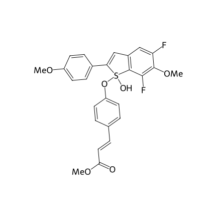 COC(=O)C=Cc1ccc(OS2(O)C(c3ccc(OC)cc3)=Cc3cc(F)c(OC)c(F)c32)cc1